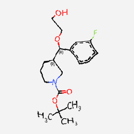 CC(C)(C)OC(=O)N1CCC[C@@H]([C@@H](OCCO)c2cccc(F)c2)C1